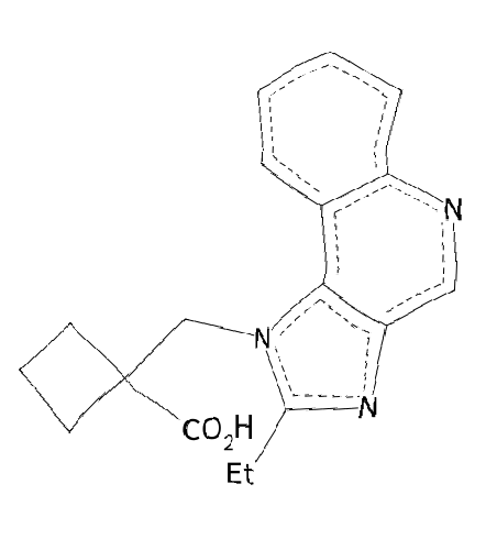 CCc1nc2cnc3ccccc3c2n1CC1(C(=O)O)CCC1